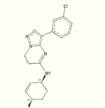 C[C@H]1C=C[C@@H](NC2=Nc3c(-c4cccc(Cl)c4)cnn3CC2)CC1